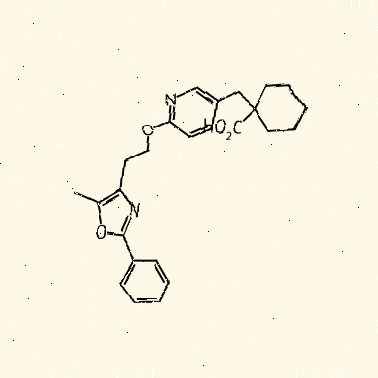 Cc1oc(-c2ccccc2)nc1CCOc1ccc(CC2(C(=O)O)CCCCC2)cn1